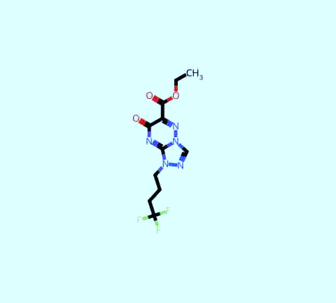 CCOC(=O)c1nn2cnn(CCCC(F)(F)F)c2nc1=O